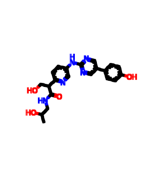 CC(O)CNC(=O)C(CO)c1ccc(Nc2ncc(-c3ccc(O)cc3)cn2)cn1